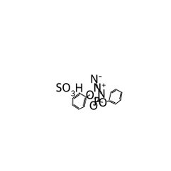 [N-]=[N+]=NP(=O)(Oc1ccccc1)Oc1ccccc1S(=O)(=O)O